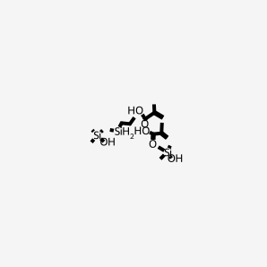 C=C(C)C(=O)O.C=C(C)C(=O)O.CCC[SiH2]C.C[Si](C)(C)O.C[Si](C)(C)O